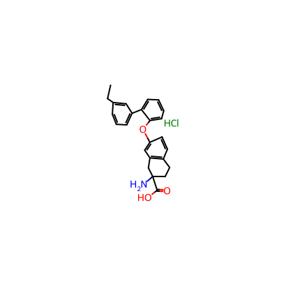 CCc1cccc(-c2ccccc2Oc2ccc3c(c2)CC(N)(C(=O)O)CC3)c1.Cl